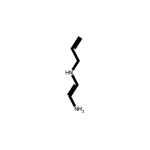 C=CCN/C=C/N